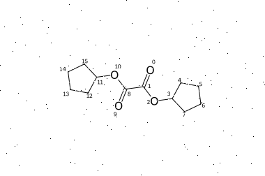 O=C(OC1CCCC1)C(=O)OC1CCCC1